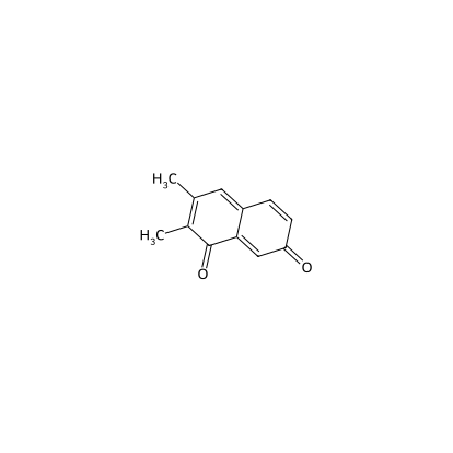 CC1=C(C)C(=O)C2=CC(=O)C=CC2=C1